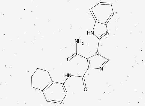 NC(=O)c1c(C(=O)Nc2cccc3c2CCCC3)ncn1-c1nc2ccccc2[nH]1